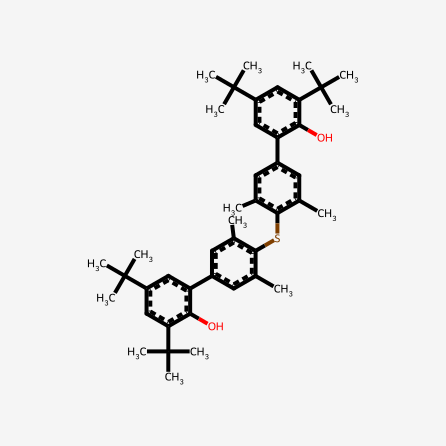 Cc1cc(-c2cc(C(C)(C)C)cc(C(C)(C)C)c2O)cc(C)c1Sc1c(C)cc(-c2cc(C(C)(C)C)cc(C(C)(C)C)c2O)cc1C